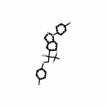 OC(COc1ccc(Br)cc1)(c1ccc2c(cnn2-c2ccc(F)cc2)c1)C(F)(F)F